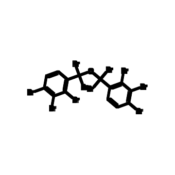 Brc1ccc(C(Br)(Br)OC(Br)(Br)c2ccc(Br)c(Br)c2Br)c(Br)c1Br